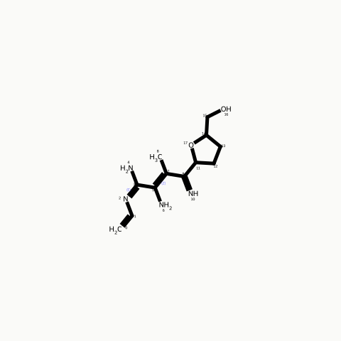 C=C/N=C(N)\C(N)=C(/C)C(=N)C1CCC(CO)O1